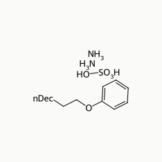 CCCCCCCCCCCCOc1ccccc1.N.N.O=S(=O)(O)O